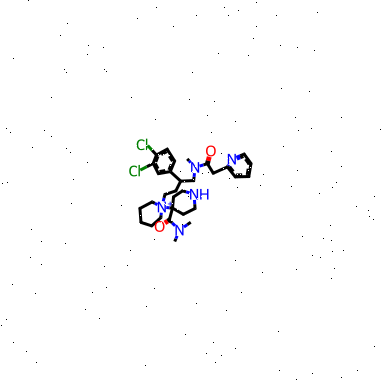 CN(C)C(=O)C1([N+]2(CCC(CN(C)C(=O)Cc3ccccn3)c3ccc(Cl)c(Cl)c3)CCCCC2)CCNCC1